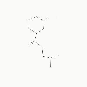 CCCCCCCC(O)COC(=O)C1CCCC(C(=O)O)C1